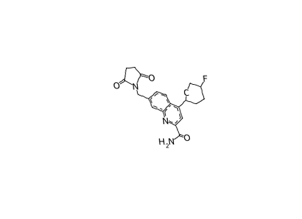 NC(=O)c1cc(C2CCC(F)CC2)c2ccc(CN3C(=O)CCC3=O)cc2n1